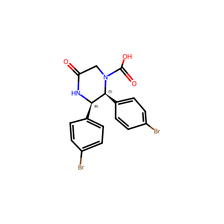 O=C1CN(C(=O)O)[C@@H](c2ccc(Br)cc2)[C@@H](c2ccc(Br)cc2)N1